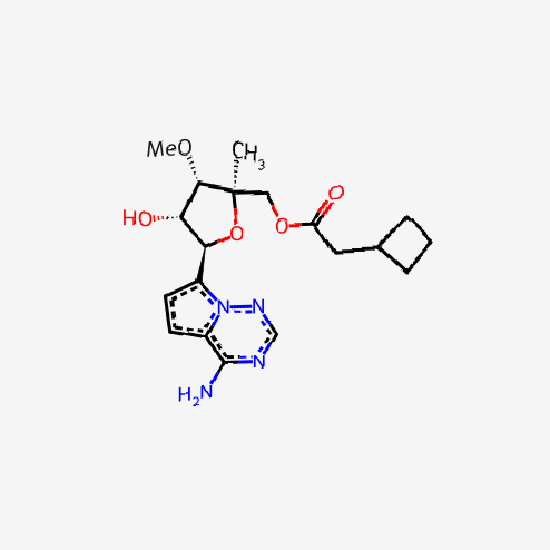 CO[C@H]1[C@@H](O)[C@H](c2ccc3c(N)ncnn23)O[C@]1(C)COC(=O)CC1CCC1